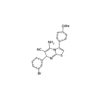 COc1ccc(C2=CSC3=NC(c4cccc(Br)c4)C(C#N)=C(N)N23)cc1